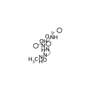 CCNC(=O)N1CCCN(c2ccc(C(=O)N[C@H]3C[C@@H]3c3ccccc3)cc2NC(O)c2ccccc2)CC1